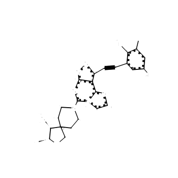 C[C@@H]1OCC2(CCN(c3nc4[nH]nc(C#Cc5cc(F)cc(Cl)c5F)c4c4nccn34)CC2)[C@@H]1N